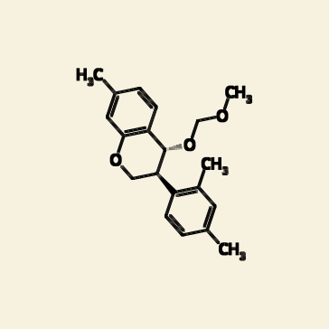 COCO[C@H]1c2ccc(C)cc2OC[C@@H]1c1ccc(C)cc1C